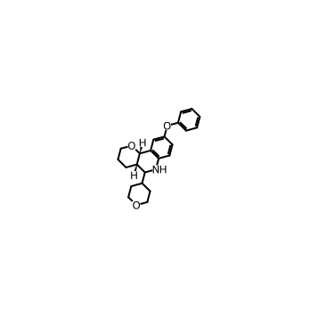 c1ccc(Oc2ccc3c(c2)[C@H]2OCCC[C@H]2C(C2CCOCC2)N3)cc1